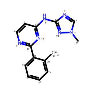 Cn1cnc(Nc2ccnc(-c3ccccc3C(F)(F)F)n2)n1